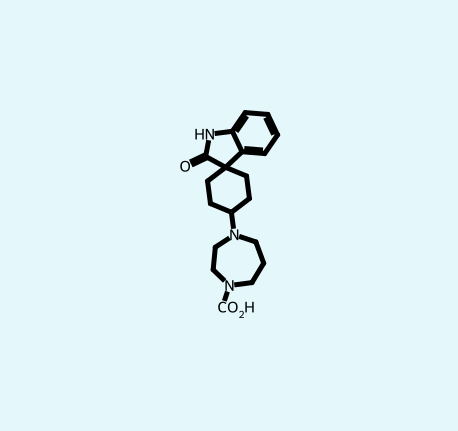 O=C(O)N1CCCN(C2CCC3(CC2)C(=O)Nc2ccccc23)CC1